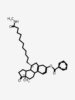 CNC(=O)CCCCCCCCCC[C@H]1CC2=C(C=C=C(OC(=O)c3ccccc3)C2)C2CC[C@]3(C)C(=O)CCC3C21